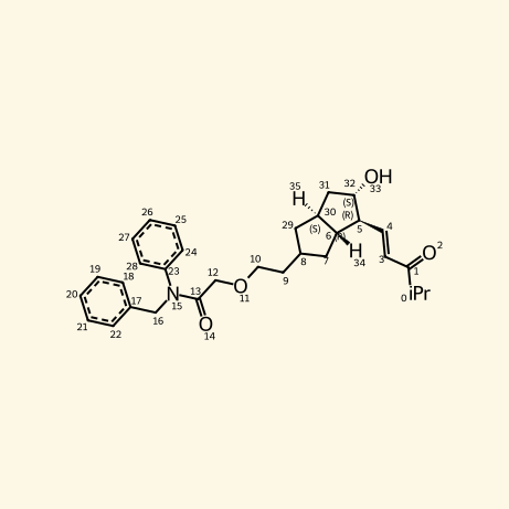 CC(C)C(=O)C=C[C@H]1[C@@H]2CC(CCOCC(=O)N(Cc3ccccc3)c3ccccc3)C[C@H]2C[C@@H]1O